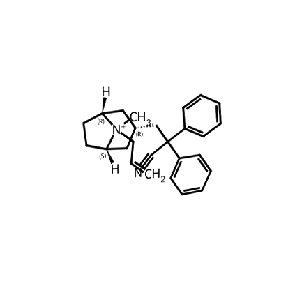 C=CC[N+]1(C)[C@@H]2CC[C@H]1C[C@@H](CC(C#N)(c1ccccc1)c1ccccc1)C2